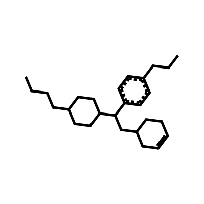 CCCCC1CCC(C(CC2CC=CCC2)c2ccc(CCC)cc2)CC1